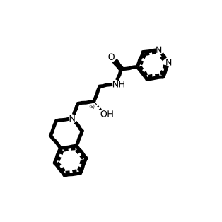 O=C(NC[C@H](O)CN1CCc2ccccc2C1)c1ccnnc1